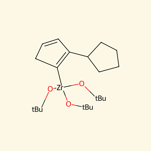 CC(C)(C)[O][Zr]([O]C(C)(C)C)([O]C(C)(C)C)[C]1=C(C2CCCC2)C=CC1